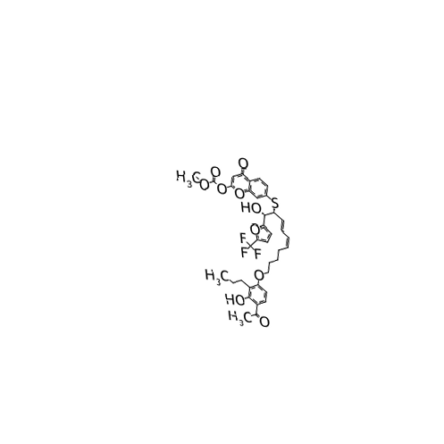 CCCc1c(OCCCC/C=C\C=C\[C@H](Sc2ccc3c(=O)cc(OC(=O)OC)oc3c2)[C@H](O)c2ccc(C(F)(F)F)o2)ccc(C(C)=O)c1O